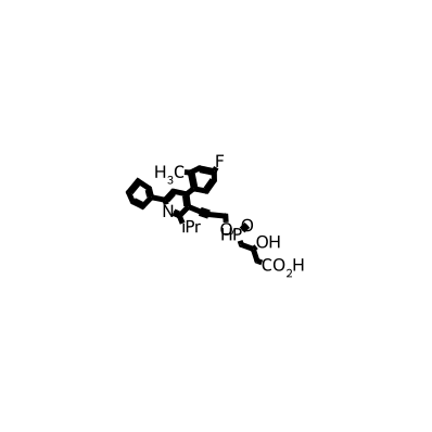 Cc1cc(F)ccc1-c1cc(-c2ccccc2)nc(C(C)C)c1C#CCO[PH](=O)CC(O)CC(=O)O